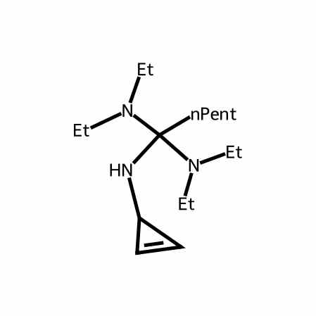 CCCCCC(NC1C=C1)(N(CC)CC)N(CC)CC